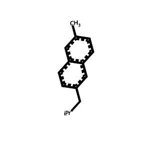 Cc1ccc2cc(CC(C)C)ccc2c1